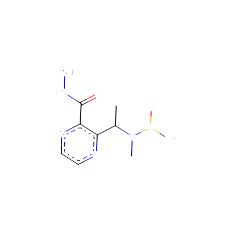 CC(c1nccnc1C(=O)NN)N(C)[S+]([O-])C(C)(C)C